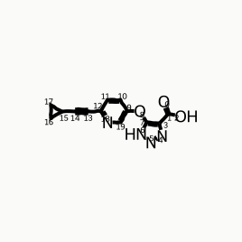 O=C(O)c1nn[nH]c1Oc1ccc(C#CC2CC2)nc1